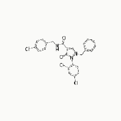 O=C(NCc1ccc(Cl)cc1)c1cn(Cc2ccccc2)n(-c2ccc(Cl)cc2Cl)c1=O